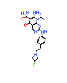 CCn1c(N)c(C(N)=O)c(=O)c2cnc(Nc3ccc(CCN4CC(F)C4)cc3)nc21